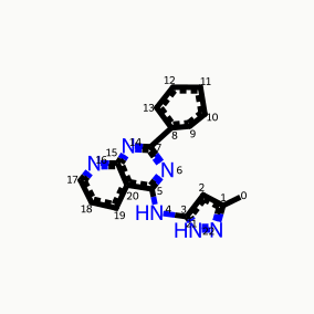 Cc1cc(Nc2nc(-c3ccccc3)nc3ncccc23)[nH]n1